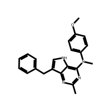 COc1ccc(N(C)c2nc(C)nc3c(Cc4ccccc4)c[nH]c23)cc1